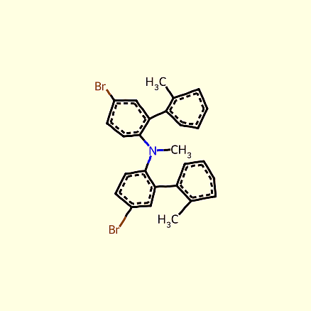 Cc1ccccc1-c1cc(Br)ccc1N(C)c1ccc(Br)cc1-c1ccccc1C